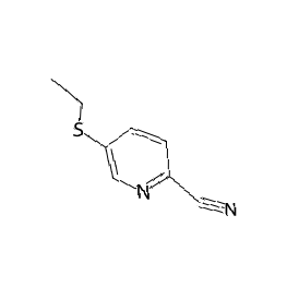 CCSc1ccc(C#N)nc1